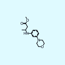 COC(=O)CC(C)Nc1cccc(N2CCOCC2)c1